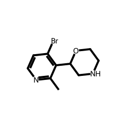 Cc1nccc(Br)c1C1CNCCO1